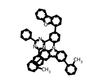 Cc1ccccc1-c1ccc2c(c1)c1cc(-c3ccccc3C)ccc1n2-c1ccc(-c2cccc3c2oc2ccccc23)cc1-c1nc(-c2ccccc2)nc(-c2ccccc2)n1